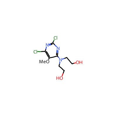 COc1c(Cl)nc(Cl)nc1N(CCO)CCO